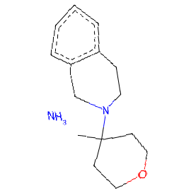 CC1(N2CCc3ccccc3C2)CCOCC1.N